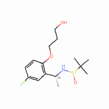 C[C@@H](N[S+]([O-])C(C)(C)C)c1cc(F)ccc1O[CH][CH]CO